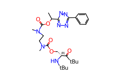 CC(OC(=O)N(C)CCN(C)C(=O)OC[C@@H](NC(C)(C)C)C(=O)C(C)(C)C)c1nnc(-c2ccccc2)nn1